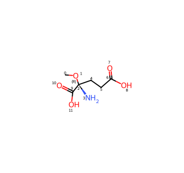 CO[C@](N)(CCC(=O)O)C(=O)O